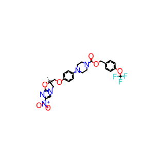 C[C@]1(COc2ccc(N3CCN(C(=O)OCc4ccc(OC(F)(F)F)cc4)CC3)cc2)Cn2cc([N+](=O)[O-])nc2O1